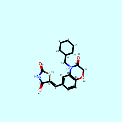 O=C1NC(=O)C(=Cc2ccc3c(c2)N(CC2CCCCC2)C(=O)CO3)S1